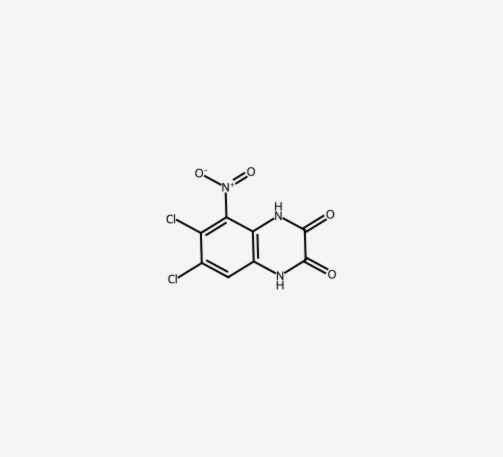 O=c1[nH]c2cc(Cl)c(Cl)c([N+](=O)[O-])c2[nH]c1=O